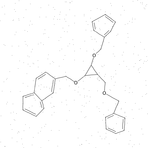 c1ccc(COCC2C(OCc3ccccc3)C2OCc2ccc3ccccc3c2)cc1